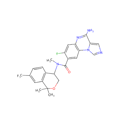 CN(C(=O)c1cc2c(cc1F)nc(N)c1cncn12)C1COC(C)(C)c2cc(C(F)(F)F)ccc21